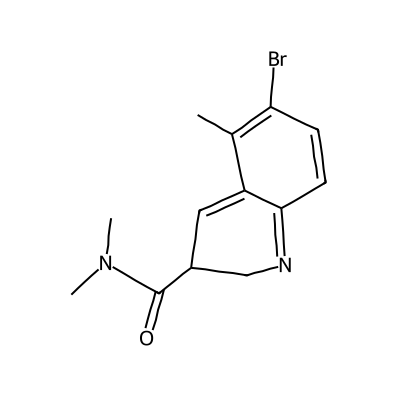 Cc1c(Br)ccc2c1=CC(C(=O)N(C)C)CN=2